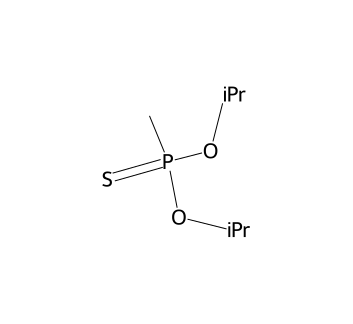 CC(C)OP(C)(=S)OC(C)C